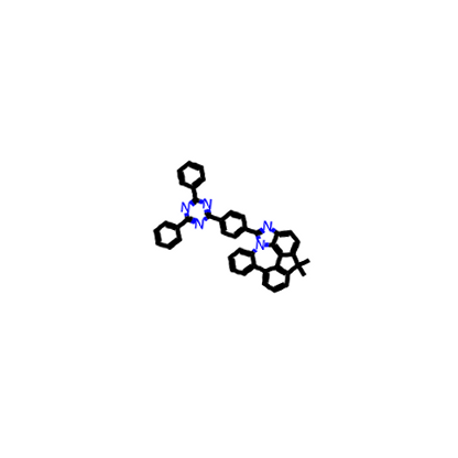 CC1(C)c2cccc3c2-c2c1ccc1nc(-c4ccc(-c5nc(-c6ccccc6)nc(-c6ccccc6)n5)cc4)n(c21)-c1ccccc1-3